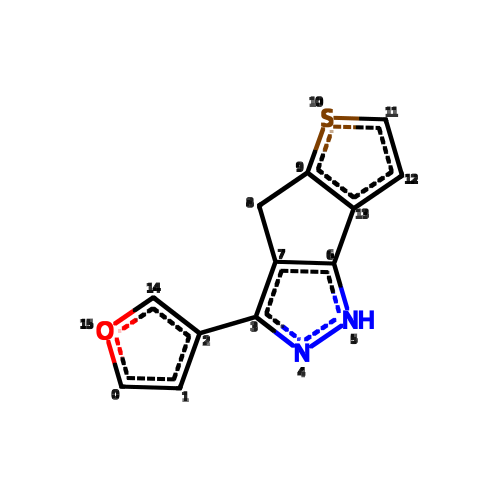 c1cc(-c2n[nH]c3c2Cc2sccc2-3)co1